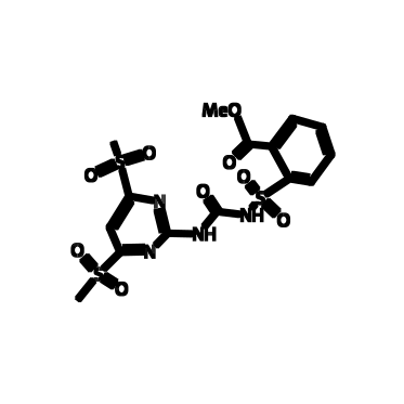 COC(=O)c1ccccc1S(=O)(=O)NC(=O)Nc1nc(S(C)(=O)=O)cc(S(C)(=O)=O)n1